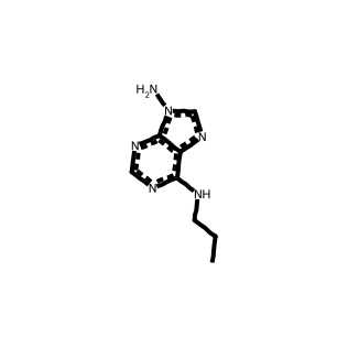 CCCNc1ncnc2c1ncn2N